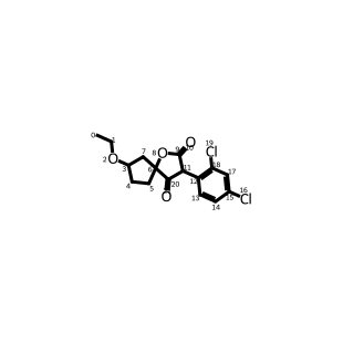 CCOC1CCC2(C1)OC(=O)C(c1ccc(Cl)cc1Cl)C2=O